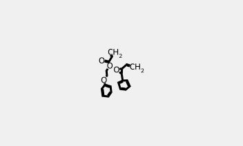 C=CC(=O)OCCOc1ccccc1.C=CC1OC1c1ccccc1